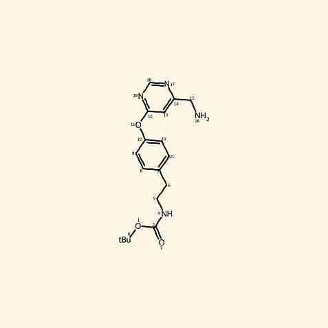 CC(C)(C)OC(=O)NCCc1ccc(Oc2cc(CN)ncn2)cc1